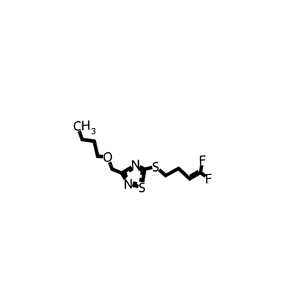 CCCCOCc1nsc(SCCC=C(F)F)n1